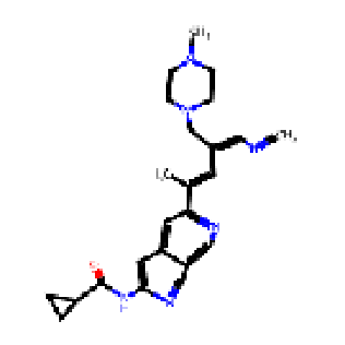 C=N/C=C(\C=C(/C)c1cc2cc(NC(=O)C3CC3)ncc2cn1)CN1CCN(C)CC1